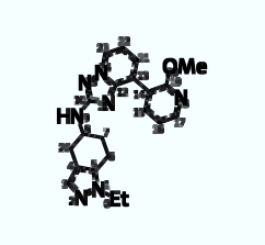 CCn1ncc2c1CCC(Nc1nc3c(-c4cccnc4OC)cccn3n1)C2